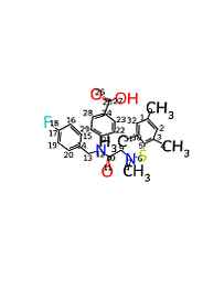 Cc1cc(C)c(SN(C)CC(=O)N(Cc2ccc(F)cc2)c2ccc(C(=O)O)cc2)c(C)c1